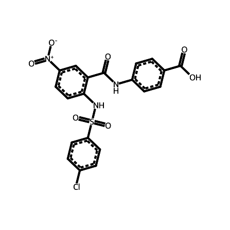 O=C(O)c1ccc(NC(=O)c2cc([N+](=O)[O-])ccc2NS(=O)(=O)c2ccc(Cl)cc2)cc1